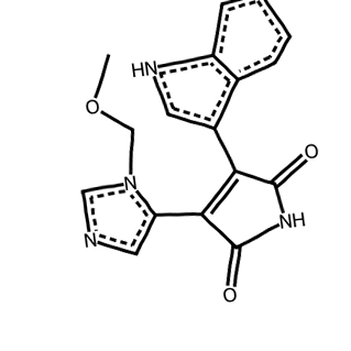 COCn1cncc1C1=C(c2c[nH]c3ccccc23)C(=O)NC1=O